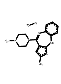 CCO.Cc1cc2c(s1)Nc1ccccc1N=C2N1CCN(C)CC1